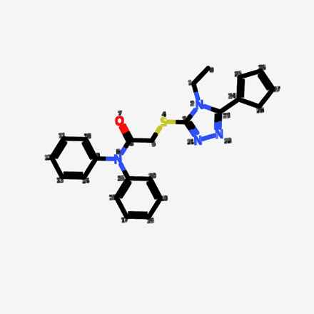 CCn1c(SCC(=O)N(c2ccccc2)c2ccccc2)nnc1C1=CC=CC1